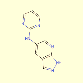 c1cnc(Nc2cnc3[nH]ncc3c2)nc1